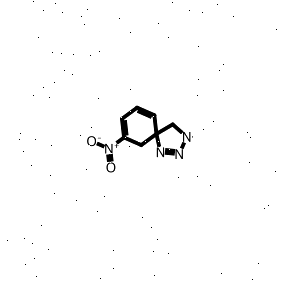 O=[N+]([O-])C1=CC=CC2(C[N]N=N2)C1